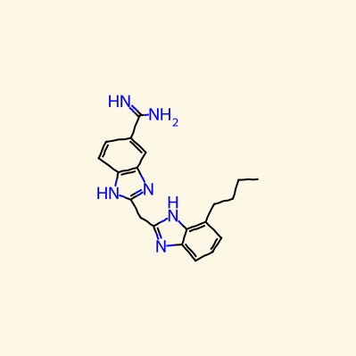 CCCCc1cccc2nc(Cc3nc4cc(C(=N)N)ccc4[nH]3)[nH]c12